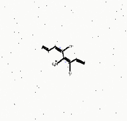 C=C/C=C(Cl)\C(=C(\Cl)C=C)[N+](=O)[O-]